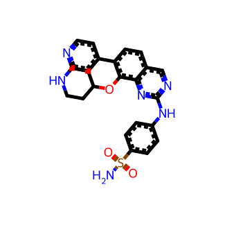 NS(=O)(=O)c1ccc(Nc2ncc3ccc(-c4ccncc4)c(OC4CCNCC4)c3n2)cc1